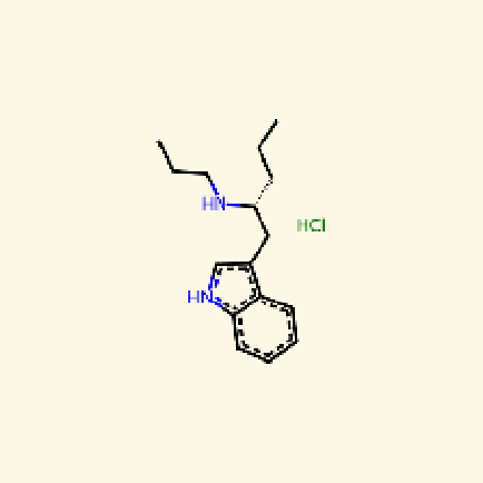 CCCN[C@H](CCC)Cc1c[nH]c2ccccc12.Cl